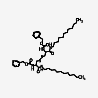 CCCCCCCCCCCCNC(=O)C(CSSCC(NC(=O)OCc1ccccc1)C(=O)NCCCCCCCCCCCC)NC(=O)OCc1ccccc1